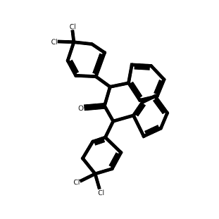 O=C(C(C1=CCC(Cl)(Cl)C=C1)c1ccccc1)C(C1=CCC(Cl)(Cl)C=C1)c1ccccc1